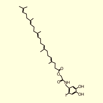 CC(C)=CCC/C(C)=C/CC/C(C)=C/CC/C=C(\C)CC/C=C(\C)CCC(=O)OCC(=O)NCc1cc(O)c(O)cc1I